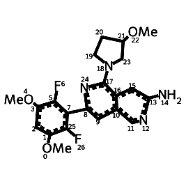 COc1cc(OC)c(F)c(-c2cc3cnc(N)cc3c(N3CCC(OC)C3)n2)c1F